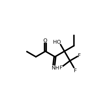 CCC(=O)C(=N)C(O)(CC)C(F)(F)F